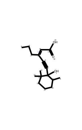 CCC/C(C#CC1(O)C(C)CCCC1(C)C)=C/C(=O)O